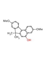 COc1ccc2c(c1)C(C)(C)c1cc(O)c3cc(OC)ccc3c1-2